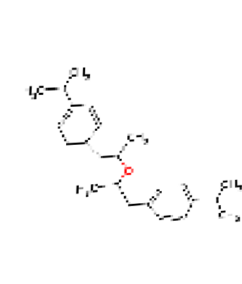 CC(Cc1ccc(C(C)C)cc1)OC(C)Cc1ccc(C(C)C)cc1